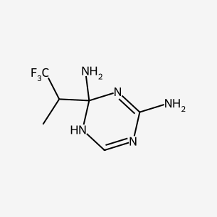 CC(C(F)(F)F)C1(N)N=C(N)N=CN1